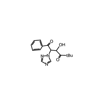 CC(C)(C)C(=O)C(O)C(C(=O)c1ccccc1)n1cncn1